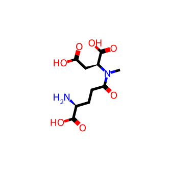 CN(C(=O)CC[C@H](N)C(=O)O)[C@@H](CC(=O)O)C(=O)O